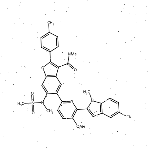 CNC(=O)c1c(-c2ccc(C)cc2)oc2cc(N(C)S(C)(=O)=O)c(-c3ccc(OC)c(-c4cc5cc(C#N)ccc5n4C)n3)cc12